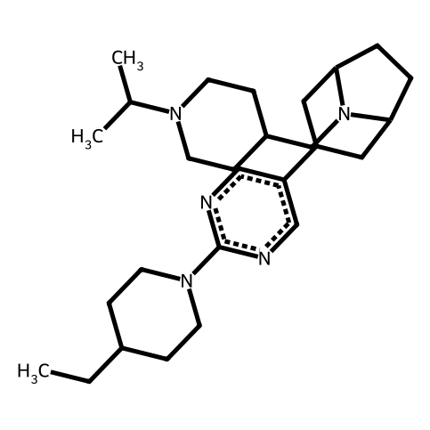 CCC1CCN(c2ncc(C3CC4CCC(C3)N4CC3CCN(C(C)C)CC3)cn2)CC1